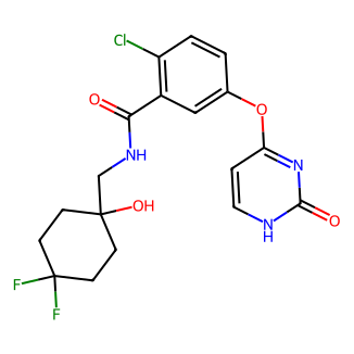 O=C(NCC1(O)CCC(F)(F)CC1)c1cc(Oc2cc[nH]c(=O)n2)ccc1Cl